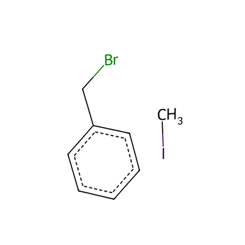 BrCc1ccccc1.CI